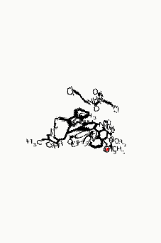 CC[C@]1(O)C[C@H]2C[N@](CCc3c([nH]c4ccccc34)[C@@](C(=O)OC)(c3cc4c(cc3OC)N(C=O)[C@H]3[C@@](O)(C(=O)OC)[C@H](OC(C)=O)[C@]5(CC)C=CCN6CC[C@]43[C@@H]65)C2)C1.O=NN(CCCl)C(=O)NCCCl